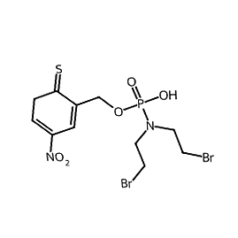 O=[N+]([O-])C1=CCC(=S)C(COP(=O)(O)N(CCBr)CCBr)=C1